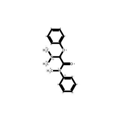 CN(C(=O)C(Oc1ccccc1)N(C)C)c1ccccc1